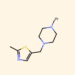 Cc1ncc(CN2CCN(C(C)C)CC2)s1